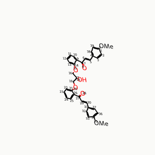 COc1ccc(/C=C/C(=O)c2ccccc2OCC(O)COc2ccccc2C(=O)/C=C/c2ccc(OC)cc2)cc1